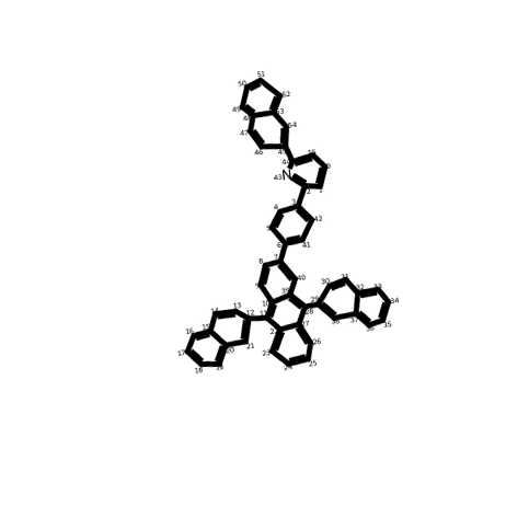 c1cc(-c2ccc(-c3ccc4c(-c5ccc6ccccc6c5)c5ccccc5c(-c5ccc6ccccc6c5)c4c3)cc2)nc(-c2ccc3ccccc3c2)c1